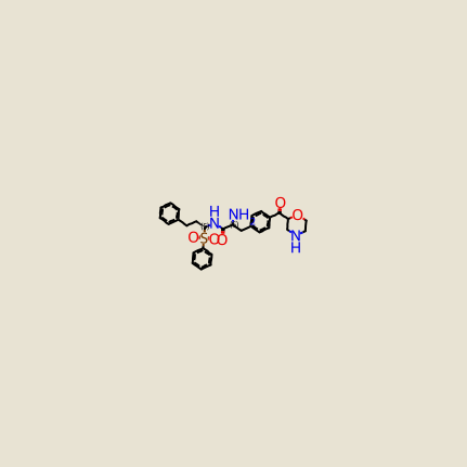 N[C@@H](Cc1ccc(C(=O)C2CNCCO2)cc1)C(=O)N[C@H](CCc1ccccc1)S(=O)(=O)c1ccccc1